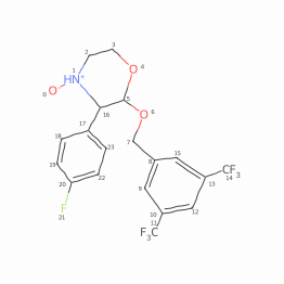 [O-][NH+]1CCOC(OCc2cc(C(F)(F)F)cc(C(F)(F)F)c2)C1c1ccc(F)cc1